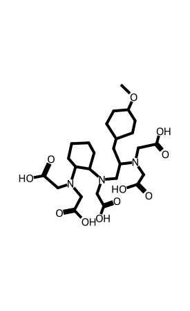 COC1CCC(CC(CN(CC(=O)O)C2CCCCC2N(CC(=O)O)CC(=O)O)N(CC(=O)O)CC(=O)O)CC1